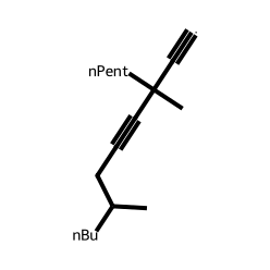 [C]#CC(C)(C#CCC(C)CCCC)CCCCC